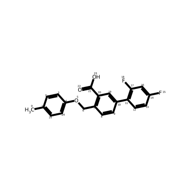 Cc1ccc(OCc2ccc(-c3ccc(F)cc3F)cc2C(=O)O)cc1